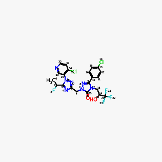 CC(F)c1nc(Cn2nc(-c3ccc(Cl)cc3)n(C[C@H](O)C(F)(F)F)c2=O)nn1-c1cnccc1Cl